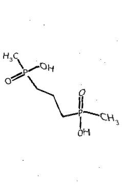 CP(=O)(O)CCCP(C)(=O)O